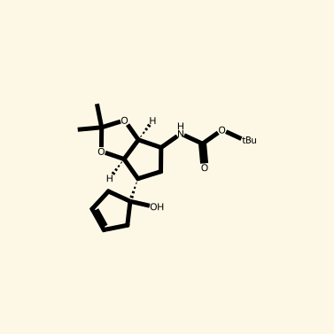 CC(C)(C)OC(=O)NC1C[C@H](C2(O)CC=CC2)[C@H]2OC(C)(C)O[C@@H]12